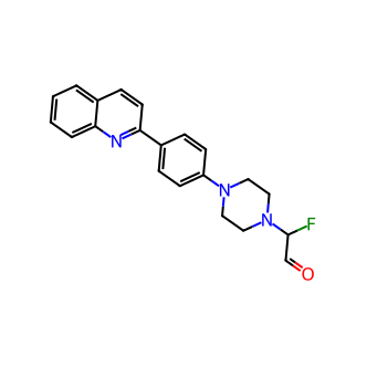 O=CC(F)N1CCN(c2ccc(-c3ccc4ccccc4n3)cc2)CC1